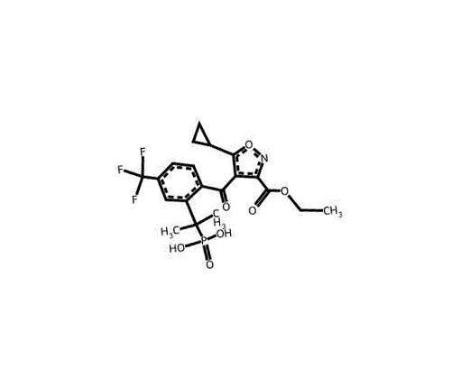 CCOC(=O)c1noc(C2CC2)c1C(=O)c1ccc(C(F)(F)F)cc1C(C)(C)P(=O)(O)O